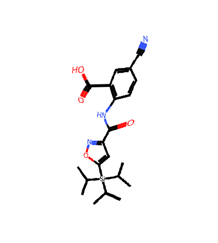 CC(C)[Si](c1cc(C(=O)Nc2ccc(C#N)cc2C(=O)O)no1)(C(C)C)C(C)C